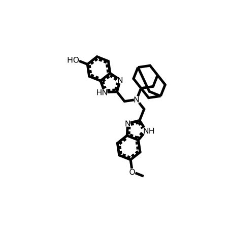 COc1ccc2nc(CN(Cc3nc4ccc(O)cc4[nH]3)C34CC5CC(CC(C5)C3)C4)[nH]c2c1